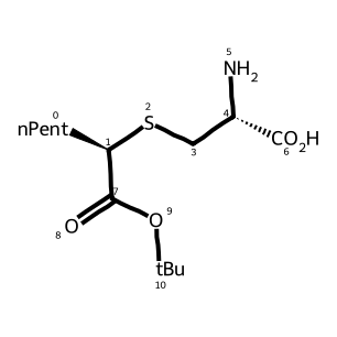 CCCCC[C@@H](SC[C@H](N)C(=O)O)C(=O)OC(C)(C)C